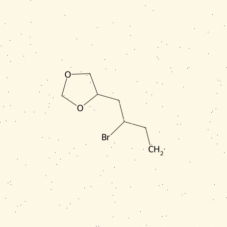 [CH2]CC(Br)CC1COCO1